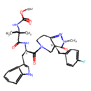 CN1N=C2CCN(C(=O)[C@@H](Cc3c[nH]c4ccccc34)NC(=O)C(C)(C)NC(=O)OC(C)(C)C)C[C@@]2(Cc2ccc(F)cc2)C1=O